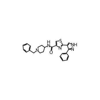 O=C(NC1CCN(Cc2ccccc2)CC1)c1csc(-c2c[nH]nc2-c2ccccc2)n1